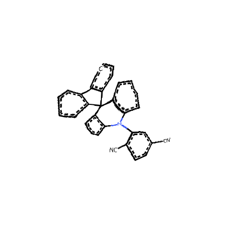 N#Cc1ccc(C#N)c(N2c3ccccc3C3(c4ccccc4-c4ccccc43)c3ccccc32)c1